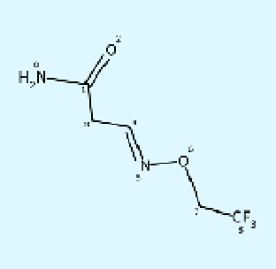 NC(=O)CC=NOCC(F)(F)F